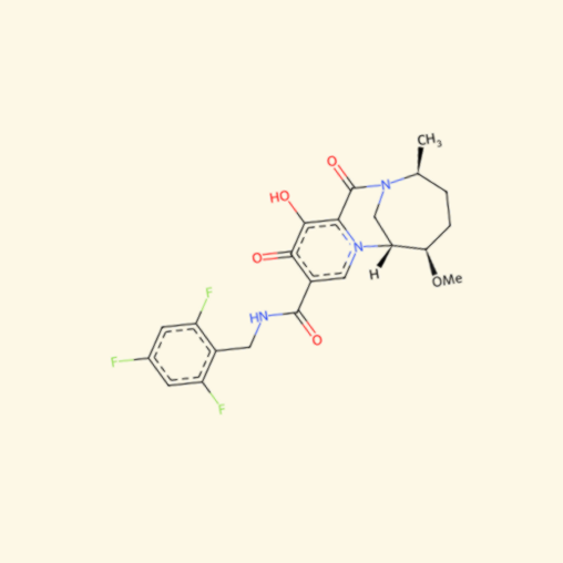 CO[C@@H]1CC[C@H](C)N2C[C@H]1n1cc(C(=O)NCc3c(F)cc(F)cc3F)c(=O)c(O)c1C2=O